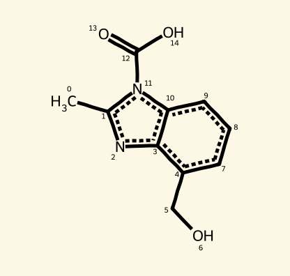 Cc1nc2c(CO)cccc2n1C(=O)O